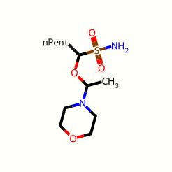 CCCCCC(OC(C)N1CCOCC1)S(N)(=O)=O